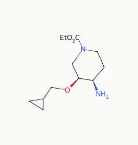 CCOC(=O)N1CC[C@@H](N)[C@@H](OCC2CC2)C1